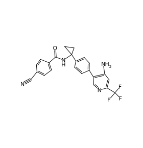 N#Cc1ccc(C(=O)NC2(c3ccc(-c4cnc(C(F)(F)F)cc4N)cc3)CC2)cc1